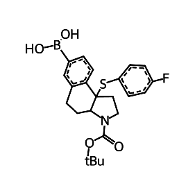 CC(C)(C)OC(=O)N1CCC2(Sc3ccc(F)cc3)c3ccc(B(O)O)cc3CCC12